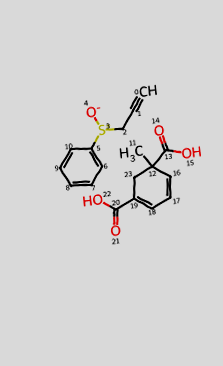 C#CC[S+]([O-])c1ccccc1.CC1(C(=O)O)C=CC=C(C(=O)O)C1